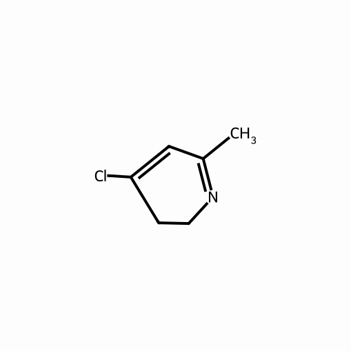 CC1=NCCC(Cl)=C1